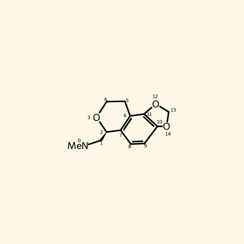 CNC[C@H]1OCCc2c1ccc1c2OCO1